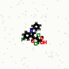 O=C(O)/C(Cl)=C(\Cl)C(=O)c1cn(Cc2ccccc2)c2ccc(F)cc12